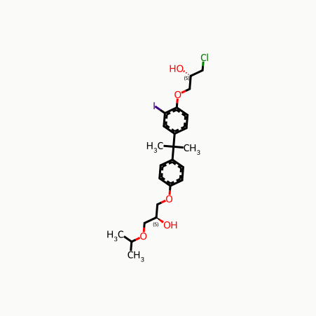 CC(C)OC[C@H](O)COc1ccc(C(C)(C)c2ccc(OC[C@H](O)CCl)c(I)c2)cc1